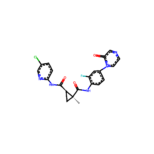 C[C@]1(C(=O)Nc2ccc(-n3ccncc3=O)cc2F)C[C@H]1C(=O)Nc1ccc(Cl)cn1